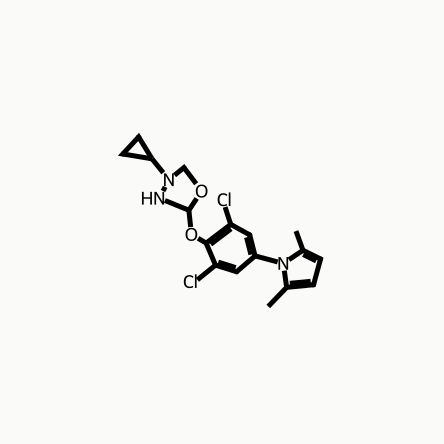 Cc1ccc(C)n1-c1cc(Cl)c(OC2NN(C3CC3)CO2)c(Cl)c1